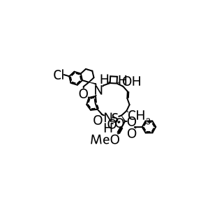 COC#CC(OC(=O)c1ccccc1)[C@@H]1[C@@H](C)C/C=C/[C@H](O)[C@@H]2CC[C@H]2CN2C[C@@]3(CCCc4cc(Cl)ccc43)COc3ccc(cc32)C(=O)NS1(=O)=O